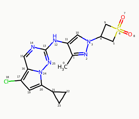 Cc1nn(C2CS(=O)(=O)C2)cc1Nc1ncc2c(Cl)cc(C3CC3)n2n1